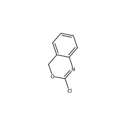 ClC1=Nc2ccccc2CO1